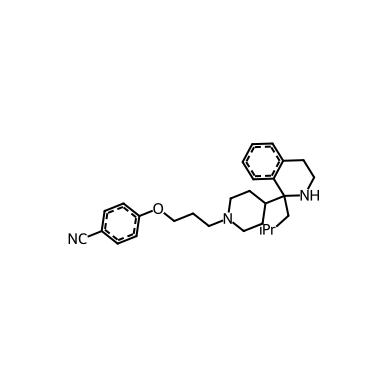 CC(C)CC1(C2CCN(CCCOc3ccc(C#N)cc3)CC2)NCCc2ccccc21